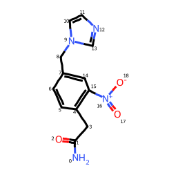 NC(=O)Cc1ccc(Cn2ccnc2)cc1[N+](=O)[O-]